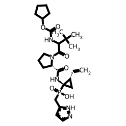 C=C[C@@H]1C[C@]1(NC(=O)[C@@H]1CCCN1C(=O)C(NC(=O)OC1CCCC1)C(C)(C)C)P(=O)(O)Cc1ccn[nH]1